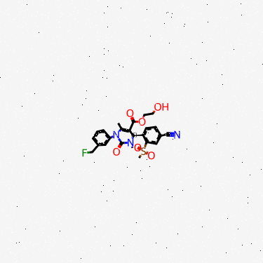 CC1=C(C(=O)OCCO)[C@@H](c2ccc(C#N)cc2S(C)(=O)=O)N(C)C(=O)N1c1cccc(CF)c1